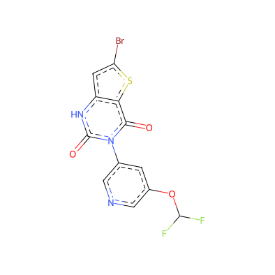 O=c1[nH]c2cc(Br)sc2c(=O)n1-c1cncc(OC(F)F)c1